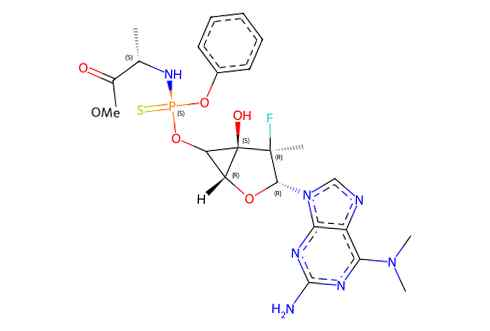 COC(=O)[C@H](C)N[P@@](=S)(Oc1ccccc1)OC1[C@H]2O[C@@H](n3cnc4c(N(C)C)nc(N)nc43)[C@](C)(F)[C@@]12O